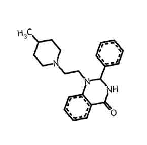 CC1CCN(CCN2c3ccccc3C(=O)NC2c2ccccc2)CC1